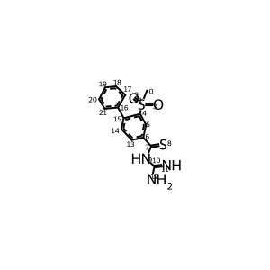 CS(=O)(=O)c1cc(C(=S)NC(=N)N)ccc1-c1ccccc1